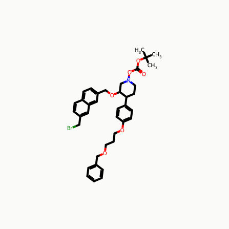 CC(C)(C)OC(=O)ON1CCC(c2ccc(OCCCOCc3ccccc3)cc2)C(OCc2ccc3ccc(CBr)cc3c2)C1